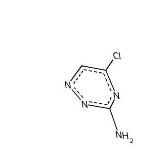 Nc1nncc(Cl)n1